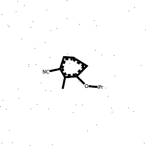 Cc1c(C#N)cccc1OC(C)C